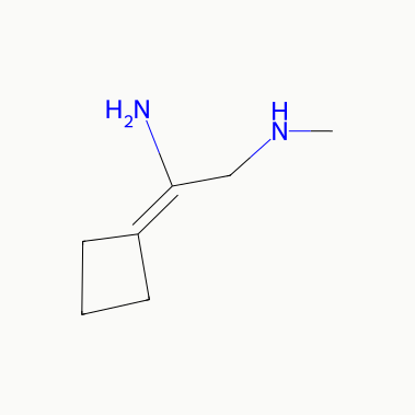 CNCC(N)=C1CCC1